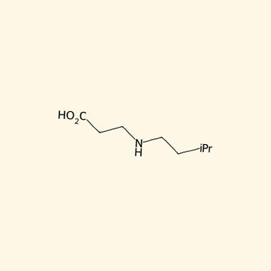 CC(C)CCNCCC(=O)O